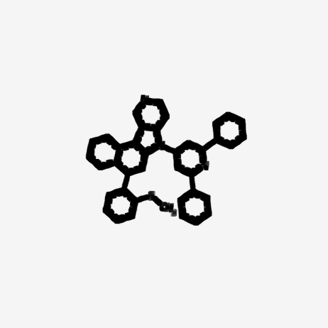 CSc1ccccc1-c1cc2c(c3ccccc13)c1cnccc1n2-c1cc(-c2ccccc2)nc(-c2ccccc2)c1